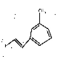 Cc1cccc(C=CF)c1